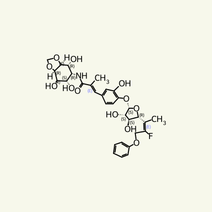 C/C(=C\c1ccc(O[C@@H]2O[C@H](/C(C)=C(/F)COc3ccccc3)[C@@H](O)[C@@H]2O)c(O)c1)C(=O)N[C@@H]1[C@H](O)[C@@H](O)[C@H]2OCO[C@H]2[C@@H]1O